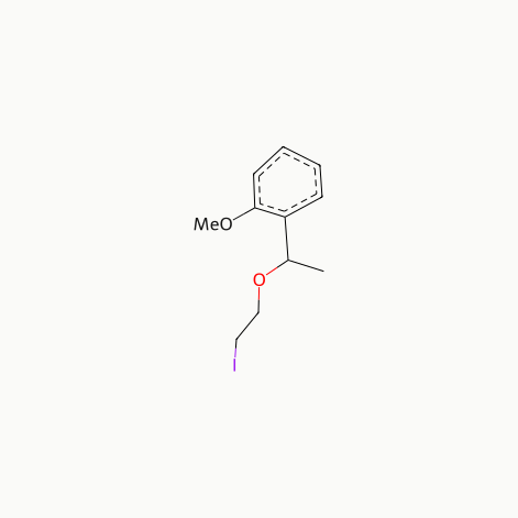 COc1ccccc1C(C)OCCI